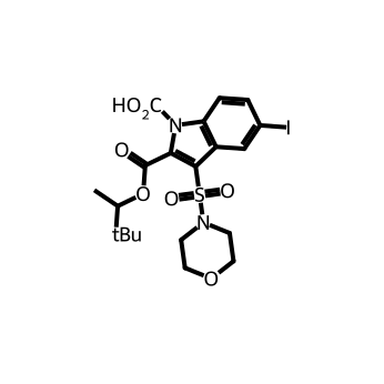 CC(OC(=O)c1c(S(=O)(=O)N2CCOCC2)c2cc(I)ccc2n1C(=O)O)C(C)(C)C